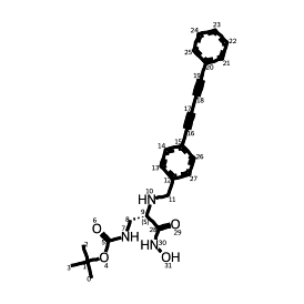 CC(C)(C)OC(=O)NC[C@H](NCc1ccc(C#CC#Cc2ccccc2)cc1)C(=O)NO